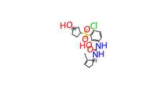 CC1=CCC[C@H]1NC(=O)Nc1ccc(Cl)c(S(=O)(=O)C2CC[C@@H](O)C2)c1O